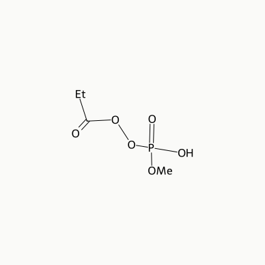 CCC(=O)OOP(=O)(O)OC